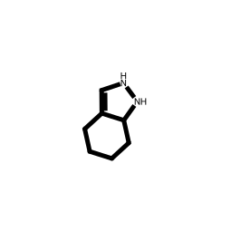 C1=C2CCCCC2NN1